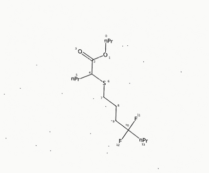 CCCOC(=O)C(CCC)SCCCC(F)(F)CCC